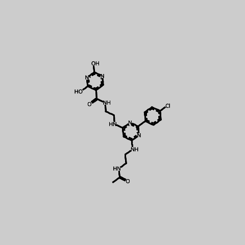 CC(=O)NCCNc1cc(NCCNC(=O)c2cnc(O)nc2O)nc(-c2ccc(Cl)cc2)n1